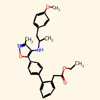 CCOC(=O)Cc1ccccc1-c1ccc(-c2onc(C)c2NC(C)Cc2ccc(OC)cc2)cc1